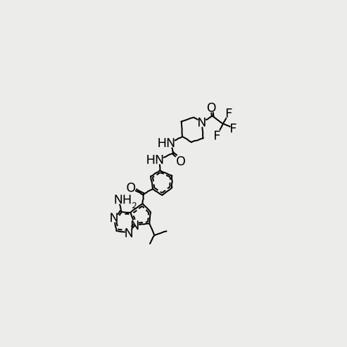 CC(C)c1cc(C(=O)c2cccc(NC(=O)NC3CCN(C(=O)C(F)(F)F)CC3)c2)c2c(N)ncnn12